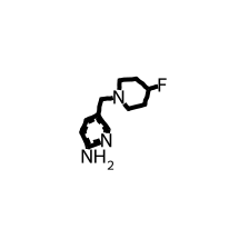 Nc1ccc(CN2CCC(F)CC2)cn1